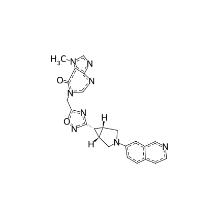 Cn1cnc2ncn(Cc3nc([C@@H]4[C@@H]5CN(c6ccc7ccncc7c6)C[C@@H]54)no3)c(=O)c21